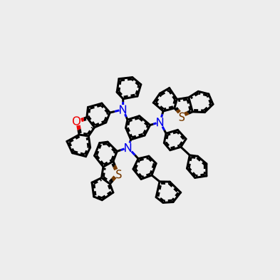 c1ccc(-c2ccc(N(c3cc(N(c4ccccc4)c4ccc5oc6ccccc6c5c4)cc(N(c4ccc(-c5ccccc5)cc4)c4cccc5c4sc4ccccc45)c3)c3cccc4c3sc3ccccc34)cc2)cc1